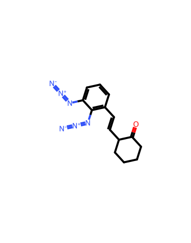 [N-]=[N+]=Nc1cccc(/C=C/C2CCCCC2=O)c1N=[N+]=[N-]